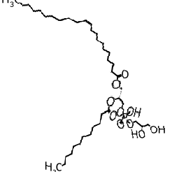 CCCCCCCCCC/C=C\CCCCCCCCCC(=O)OC[C@H](COP(=O)(O)OC[C@@H](O)CO)OC(=O)CCCCCCCCCCC